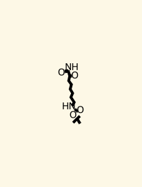 CNC(=O)C(=O)CCCCCCNC(=O)OC(C)(C)C